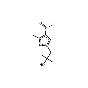 Cc1nn(CC(C)(C)O)cc1[N+](=O)[O-]